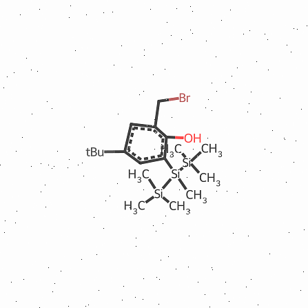 CC(C)(C)c1cc(CBr)c(O)c([Si](C)([Si](C)(C)C)[Si](C)(C)C)c1